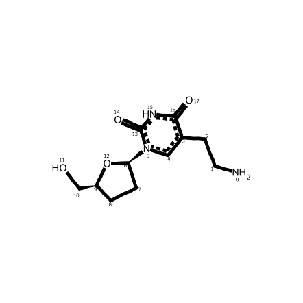 NCCc1cn([C@H]2CC[C@@H](CO)O2)c(=O)[nH]c1=O